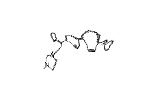 CN1CCCN(C(=O)c2ccc(-c3ccc(C=O)cc3)cc2)CC1